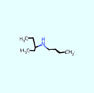 [CH2]CC[CH]NC(CC)CC